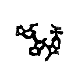 CNS(=O)(=O)c1ccc2c(c1)C(C1C(C)=C(c3cc(OC)c4c(c3)OCO4)c3ccccc31)C(=O)N2